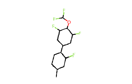 CC1CCC(C2CC(F)C(OC(F)F)C(F)C2)C(F)C1